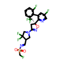 O=S(=O)(CF)/N=C/C1CN(C2=NO[C@](CF)(c3ncc(F)cc3-c3c(F)cccc3F)C2)CC1(F)F